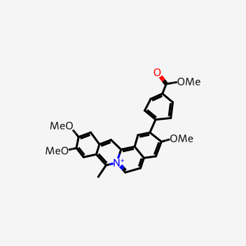 COC(=O)c1ccc(-c2cc3c(cc[n+]4c(C)c5cc(OC)c(OC)cc5cc34)cc2OC)cc1